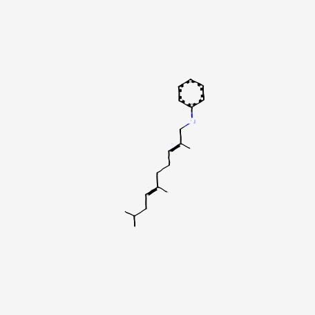 C/C(=C\CC(C)C)CC/C=C(\C)CNc1ccccc1